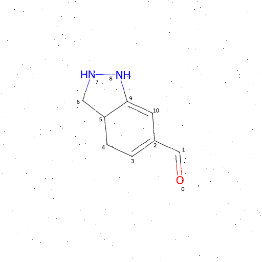 O=CC1=CCC2CNNC2=C1